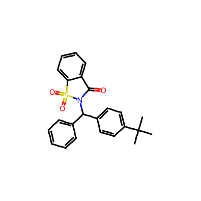 CC(C)(C)c1ccc(C(c2ccccc2)N2C(=O)c3ccccc3S2(=O)=O)cc1